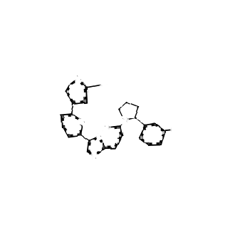 Oc1cc(-c2cccc(-c3cnc4ccc(N5CCCC5c5cccc(F)c5)nn34)n2)ccn1